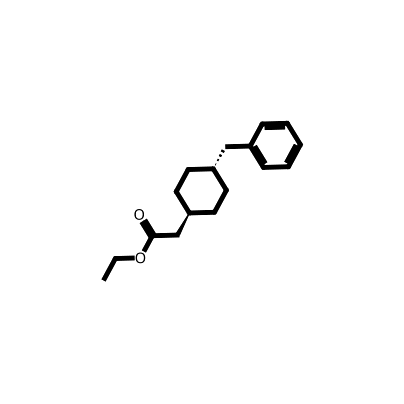 CCOC(=O)C[C@H]1CC[C@H](Cc2ccccc2)CC1